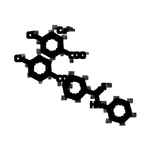 O=C([O-])c1ccc(Cl)cc1.O=C([O-])c1ccc(Cl)cc1.S=C(Nc1ccccc1)c1ccccc1.[Cu+2]